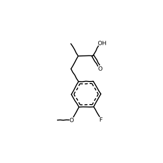 COc1cc(CC(C)C(=O)O)ccc1F